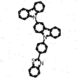 c1ccc2sc(-c3ccc(-n4c5ccccc5c5cc(-n6c7ccccc7c7ccccc76)ccc54)cc3)nc2c1